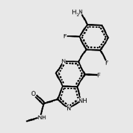 CNC(=O)c1n[nH]c2c(F)c(-c3c(F)ccc(N)c3F)ncc12